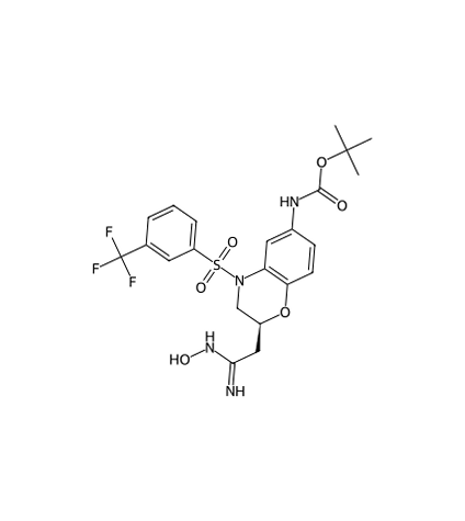 CC(C)(C)OC(=O)Nc1ccc2c(c1)N(S(=O)(=O)c1cccc(C(F)(F)F)c1)C[C@H](CC(=N)NO)O2